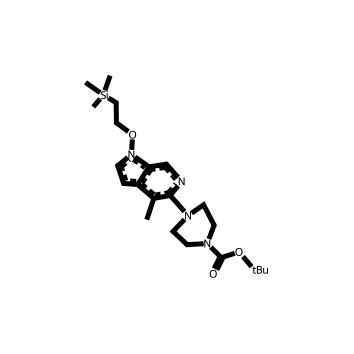 Cc1c(N2CCN(C(=O)OC(C)(C)C)CC2)ncc2c1ccn2OCC[Si](C)(C)C